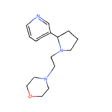 c1cncc(C2CCCN2CCN2CCOCC2)c1